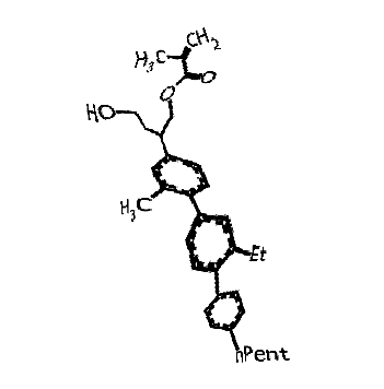 C=C(C)C(=O)OCC(CCO)c1ccc(-c2ccc(-c3ccc(CCCCC)cc3)c(CC)c2)c(C)c1